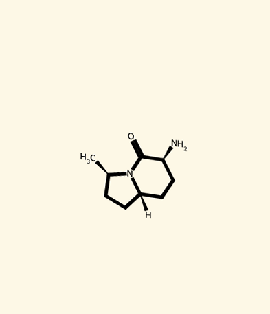 C[C@@H]1CC[C@H]2CC[C@H](N)C(=O)N21